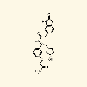 CN(C(=O)Cc1ccc2c(c1)NC(=O)C2)[C@H](CN1CC[C@H](O)C1)c1cccc(OCC(N)=O)c1